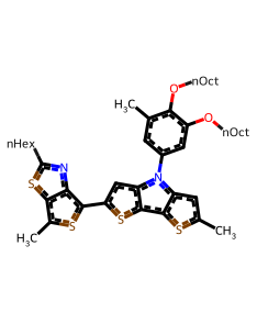 CCCCCCCCOc1cc(-n2c3cc(C)sc3c3sc(-c4sc(C)c5sc(CCCCCC)nc45)cc32)cc(C)c1OCCCCCCCC